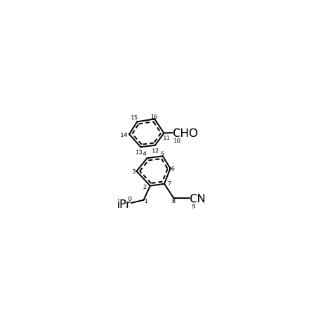 CC(C)Cc1ccccc1CC#N.O=Cc1ccccc1